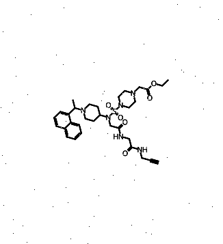 C#CCNC(=O)CNC(=O)CN(C1CCN(C(C)c2cccc3ccccc23)CC1)S(=O)(=O)N1CCN(CC(=O)OCC)CC1